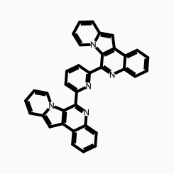 c1cc(-c2nc3ccccc3c3cc4ccccn4c23)nc(-c2nc3ccccc3c3cc4ccccn4c23)c1